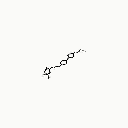 CCCC1CCC(C2CCC(C=CCCc3ccc(F)c(F)c3)CC2)CC1